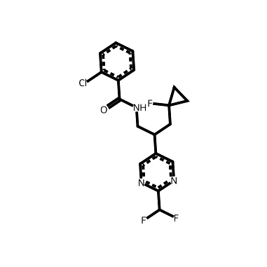 O=C(NCC(CC1(F)CC1)c1cnc(C(F)F)nc1)c1ccccc1Cl